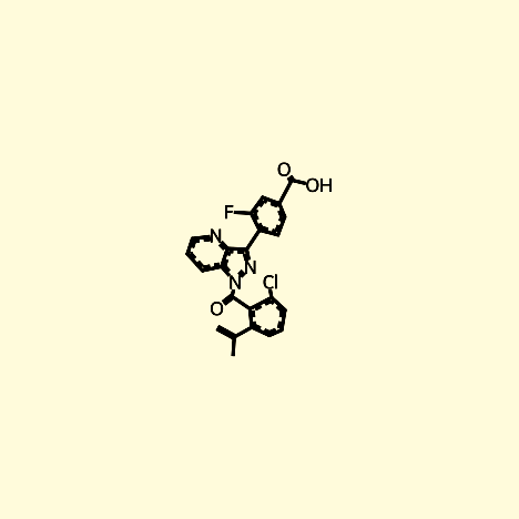 C=C(C)c1cccc(Cl)c1C(=O)n1nc(-c2ccc(C(=O)O)cc2F)c2ncccc21